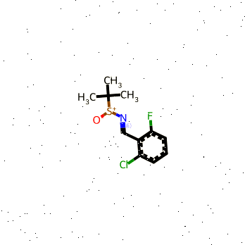 CC(C)(C)[S+]([O-])/N=C/c1c(F)cccc1Cl